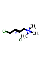 C[N+](C)(C)C/C=C/CCl.[Cl-]